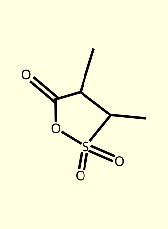 CC1C(=O)OS(=O)(=O)C1C